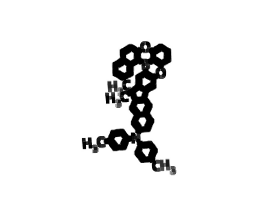 Cc1ccc(N(c2ccc(C)cc2)c2ccc3cc4c(cc3c2)C(C)(C)c2cc3c(cc2-4)Oc2cccc4c2B3c2c(ccc3ccccc23)O4)cc1